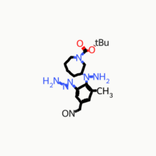 Cc1cc(CN=O)cc(N=NN)c1N(N)[C@@H]1CCCCN(C(=O)OC(C)(C)C)C1